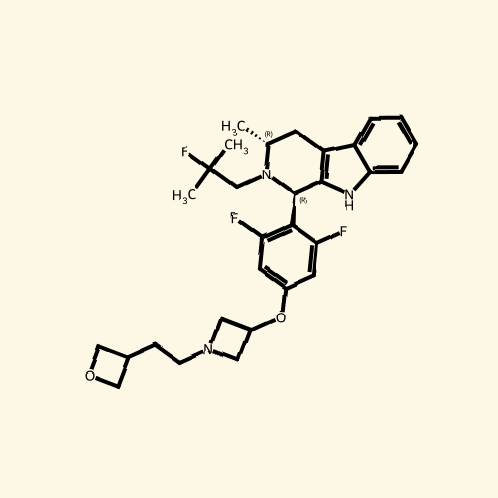 C[C@@H]1Cc2c([nH]c3ccccc23)[C@@H](c2c(F)cc(OC3CN(CCC4COC4)C3)cc2F)N1CC(C)(C)F